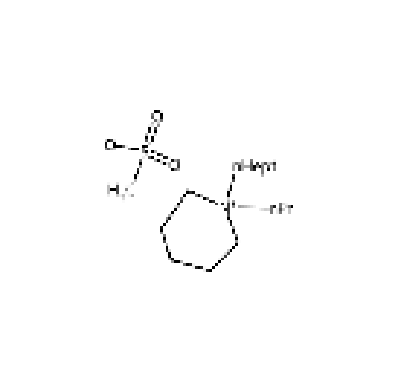 CCCCCCC[N+]1(CCC)CCCCC1.CS(=O)(=O)[O-]